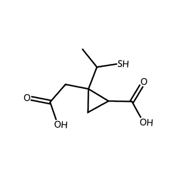 CC(S)C1(CC(=O)O)CC1C(=O)O